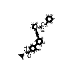 Cc1cc(C(=O)NC2CC2)ccc1-c1cccc(C#CC2CCCN2C(=O)OCc2ccccc2)c1